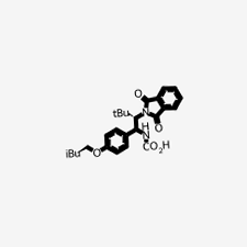 CC[C@H](C)COc1ccc(C(NC(=O)O)[C@@H](N2C(=O)c3ccccc3C2=O)C(C)(C)C)cc1